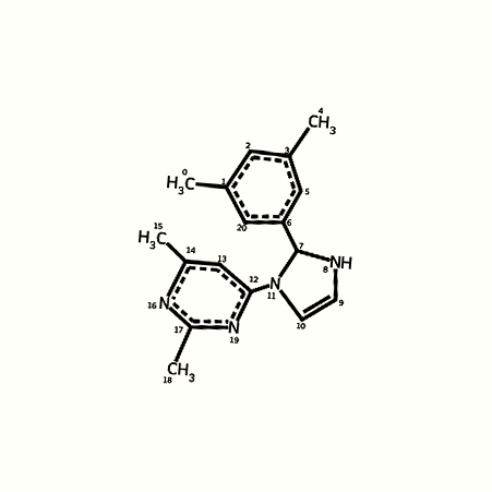 Cc1cc(C)cc(C2NC=CN2c2cc(C)nc(C)n2)c1